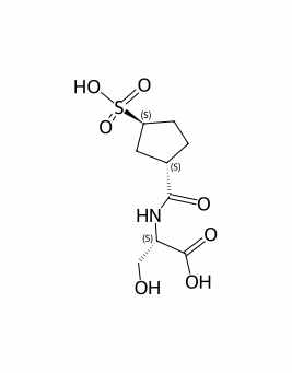 O=C(N[C@@H](CO)C(=O)O)[C@H]1CC[C@H](S(=O)(=O)O)C1